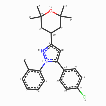 Cc1ccccc1-n1nc(C2CC(C)(C)OC(C)(C)C2)cc1-c1ccc(Cl)cc1